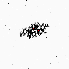 COc1ccc(CN(c2ccc(OC)cc2)S(=O)(=O)c2c(C(F)(F)F)ccc(B3OCC(C)(C)CO3)c2-c2nnnn2Cc2ccc(OC)cc2)cc1